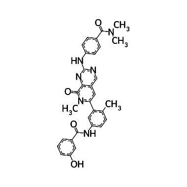 Cc1ccc(NC(=O)c2cccc(O)c2)cc1-c1cc2cnc(Nc3ccc(C(=O)N(C)C)cc3)nc2c(=O)n1C